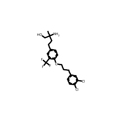 CC(N)(CO)CCc1ccc(OCCCc2ccc(Cl)c(Cl)c2)c(C(F)(F)F)c1